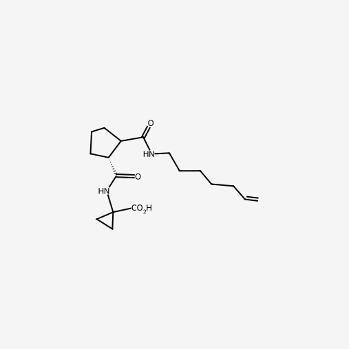 C=CCCCCCNC(=O)C1CCC[C@H]1C(=O)NC1(C(=O)O)CC1